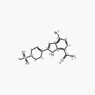 CS(=O)(=O)N1CC=C(c2cc3c(Br)ccc(C(N)=O)c3[nH]2)CC1